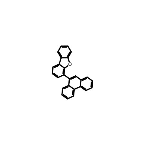 c1ccc2c(c1)cc(-c1cccc3c1oc1ccccc13)c1ccccc12